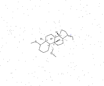 C/C=C1/CC[C@H]2[C@@H]3CC[C@@H]4C(SC)CCC[C@]4(COC)[C@H]3CC[C@]12C